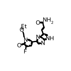 CCOCCn1cc(-c2cnc3[nH]cc(/C=C/C(N)=O)c3n2)cc(F)c1=O